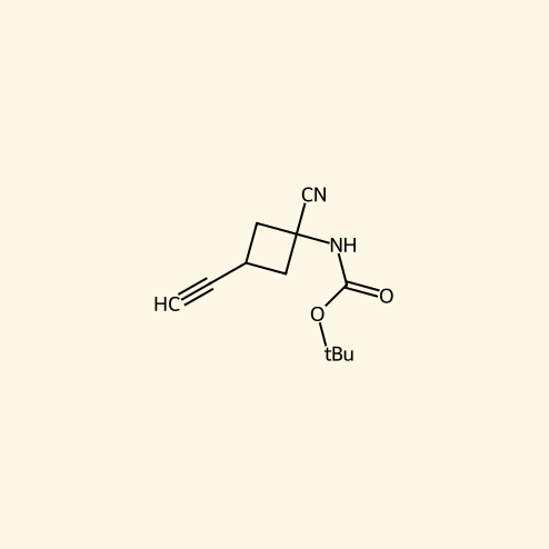 C#CC1CC(C#N)(NC(=O)OC(C)(C)C)C1